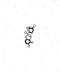 O=c1ccc(S(=O)(=O)Cc2ccc(F)c(F)c2F)n[nH]1